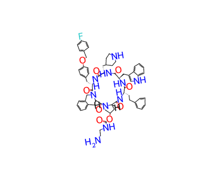 NCCNC(=O)O[C@@H]1C[C@H]2C(=O)N[C@@H](CCc3ccccc3)C(=O)N[C@H](Cc3c[nH]c4ccccc34)C(=O)N[C@@H](CC3CCNCC3)C(=O)N[C@@H](Cc3ccc(OCc4ccc(F)cc4)cc3)C(=O)N3Cc4ccccc4C[C@H]3C(=O)N2C1